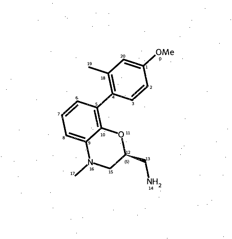 COc1ccc(-c2cccc3c2O[C@@H](CN)CN3C)c(C)c1